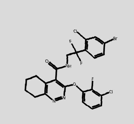 O=C(NCC(F)(F)c1ccc(Br)cc1Cl)c1c(Oc2cccc(Cl)c2F)nnc2c1CCCC2